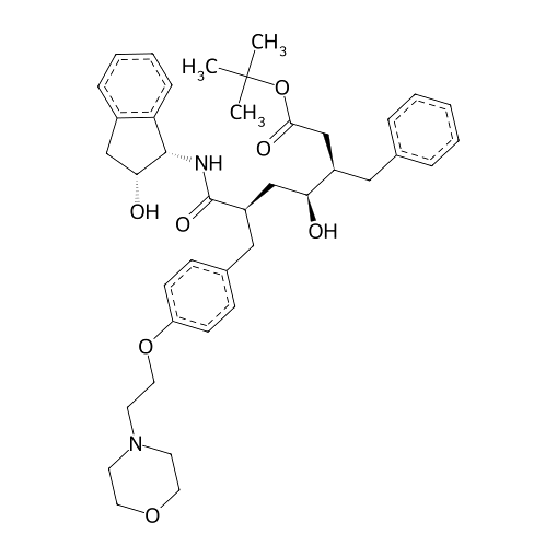 CC(C)(C)OC(=O)C[C@@H](Cc1ccccc1)[C@@H](O)C[C@@H](Cc1ccc(OCCN2CCOCC2)cc1)C(=O)N[C@H]1c2ccccc2C[C@H]1O